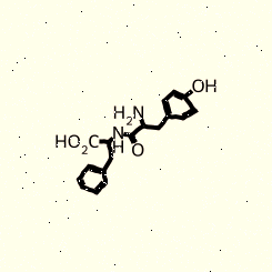 NC(Cc1ccc(O)cc1)C(=O)NC(Cc1ccccc1)C(=O)O